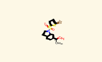 CO[C@H](O)c1ccc2c(c1)N(S(=O)(=O)c1ccc(Br)s1)CC2